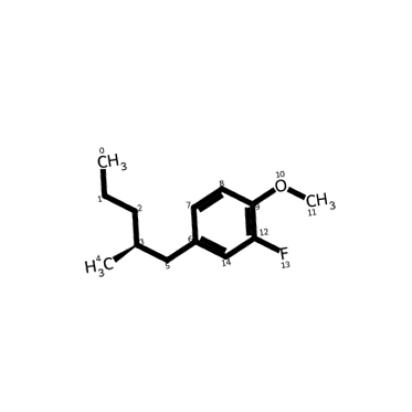 CCC[C@H](C)Cc1ccc(OC)c(F)c1